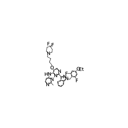 CCOc1cc(F)c(Cn2nc(-c3ncc(OCCCCN4CCC(F)(F)CC4)c(Nc4ccnc(C)n4)n3)c3ccccc32)c(F)c1